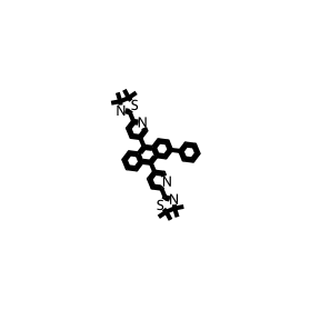 CC1(C)N=C(c2ccc(-c3c4ccccc4c(-c4ccc(C5=NC(C)(C)C(C)(C)S5)nc4)c4cc(-c5ccccc5)ccc34)cn2)SC1(C)C